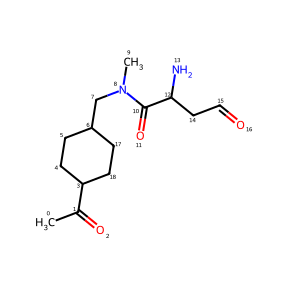 CC(=O)C1CCC(CN(C)C(=O)C(N)CC=O)CC1